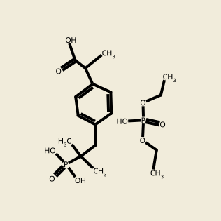 CC(C(=O)O)c1ccc(CC(C)(C)P(=O)(O)O)cc1.CCOP(=O)(O)OCC